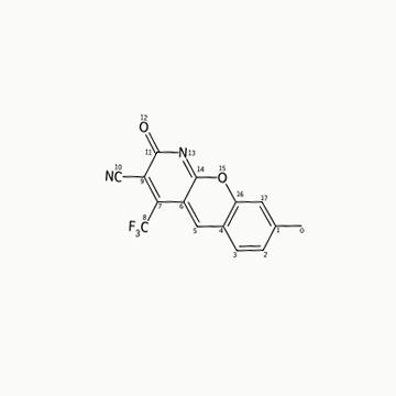 Cc1ccc2cc3c(C(F)(F)F)c(C#N)c(=O)nc-3oc2c1